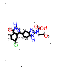 COCCN(C(=O)O)c1nc2cc(-c3n[nH]c(=O)c4ccc(Cl)cc34)ccc2[nH]1